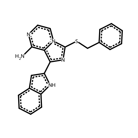 Nc1nccn2c(SCc3ccccc3)nc(-c3cc4ccccc4[nH]3)c12